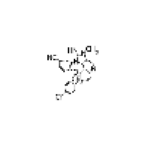 Cn1c(=N)n(-c2cc(C#N)ccc2OC(F)(F)F)c2c3cc(-c4ccc(Cl)cc4)ccc3ncc21